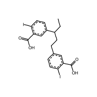 CCC(CCc1ccc(I)c(C(=O)O)c1)c1ccc(I)c(C(=O)O)c1